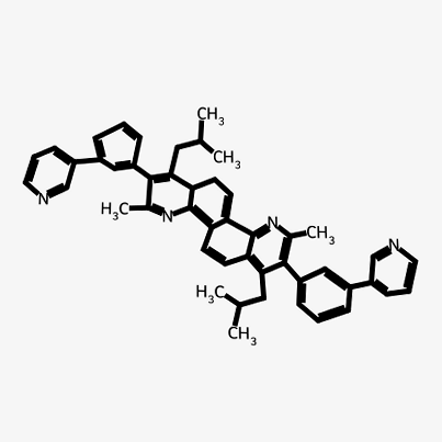 CC1=NC2=c3ccc4c(CC(C)C)c(-c5cccc(-c6cccnc6)c5)c(C)nc4c3=CCC2C(CC(C)C)=C1c1cccc(-c2cccnc2)c1